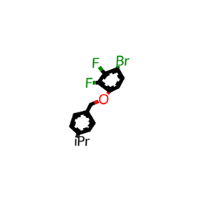 CC(C)c1ccc(COc2ccc(Br)c(F)c2F)cc1